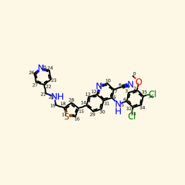 COc1cc(Nc2c(C#N)cnc3cc(-c4csc(CNCc5ccncc5)c4)ccc23)c(Cl)cc1Cl